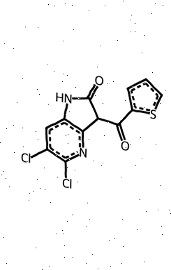 O=C1Nc2cc(Cl)c(Cl)nc2C1C(=O)c1cccs1